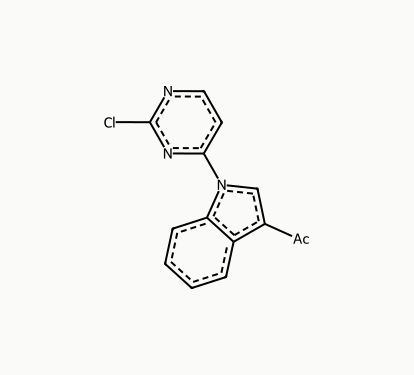 CC(=O)c1cn(-c2ccnc(Cl)n2)c2ccccc12